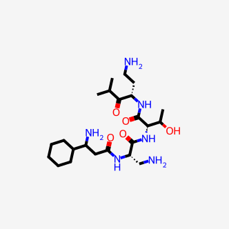 CC(C)C(=O)[C@H](CCN)NC(=O)[C@@H](NC(=O)[C@H](CN)NC(=O)CC(N)C1CCCCC1)C(C)O